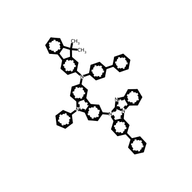 CC1(C)c2ccccc2-c2ccc(N(c3ccc(-c4ccccc4)cc3)c3ccc4c(c3)c3cc(-n5c6ccc(-c7ccccc7)cc6n6c7ccccc7nc56)ccc3n4-c3ccccc3)cc21